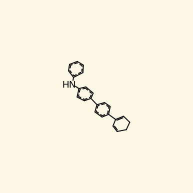 C1=CC(c2ccc(-c3ccc(Nc4ccccc4)cc3)cc2)=CCC1